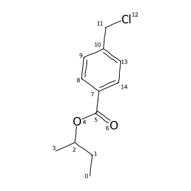 CCC(C)OC(=O)c1ccc(CCl)cc1